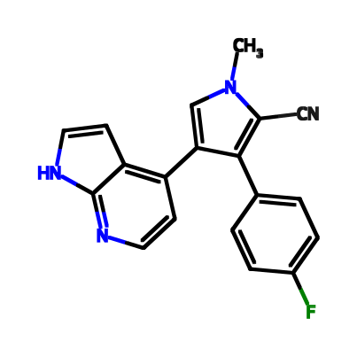 Cn1cc(-c2ccnc3[nH]ccc23)c(-c2ccc(F)cc2)c1C#N